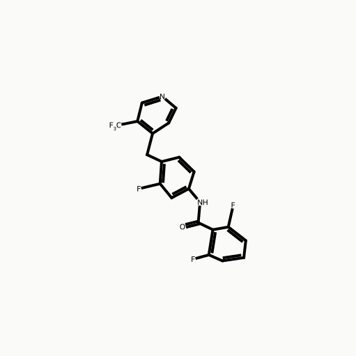 O=C(Nc1ccc(Cc2ccncc2C(F)(F)F)c(F)c1)c1c(F)cccc1F